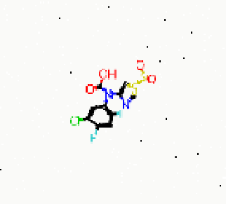 O=C(O)N(C1=CS(=S(=O)=O)C=N1)c1cc(Cl)c(F)cc1F